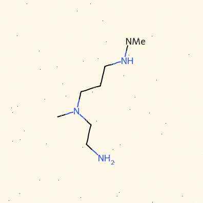 CNNCCCN(C)CCN